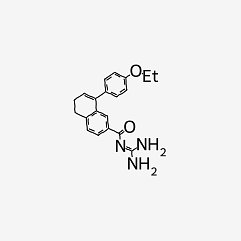 CCOc1ccc(C2=CCCc3ccc(C(=O)N=C(N)N)cc32)cc1